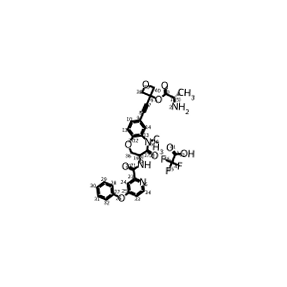 C[C@H](N)C(=O)OC1(C#Cc2ccc3c(c2)N(C)C(=O)[C@@H](NC(=O)c2cc(Oc4ccccc4)ccn2)CO3)COC1.O=C(O)C(F)(F)F